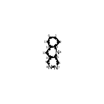 c1ccc2nc3cnncc3cc2c1